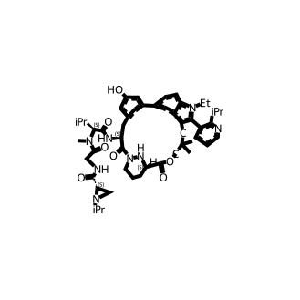 CCn1c(-c2cccnc2C(C)C)c2c3cc(ccc31)-c1cc(O)cc(c1)C[C@H](NC(=O)[C@H](C(C)C)N(C)C(=O)CNC(=O)[C@@H]1CN1C(C)C)C(=O)N1CCC[C@H](N1)C(=O)OCC(C)(C)C2